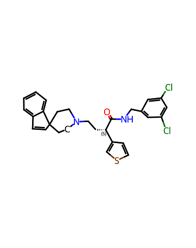 O=C(NCc1cc(Cl)cc(Cl)c1)[C@@H](CCN1CCC2(C=Cc3ccccc32)CC1)c1ccsc1